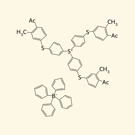 CC(=O)c1ccc(Sc2ccc([S+](c3ccc(Sc4ccc(C(C)=O)c(C)c4)cc3)c3ccc(Sc4ccc(C(C)=O)c(C)c4)cc3)cc2)cc1C.c1ccc([B-](c2ccccc2)(c2ccccc2)c2ccccc2)cc1